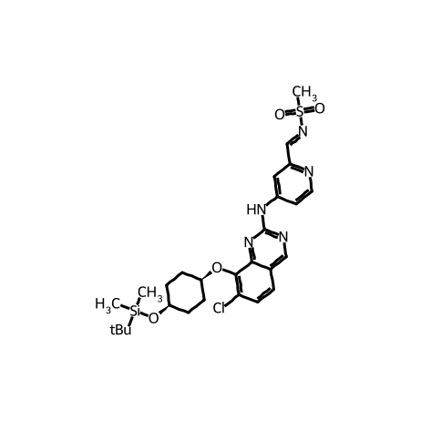 CC(C)(C)[Si](C)(C)O[C@H]1CC[C@@H](Oc2c(Cl)ccc3cnc(Nc4ccnc(C=NS(C)(=O)=O)c4)nc23)CC1